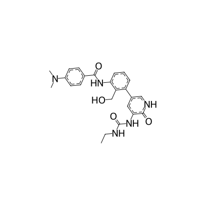 CCNC(=O)Nc1cc(-c2cccc(NC(=O)c3ccc(N(C)C)cc3)c2CO)c[nH]c1=O